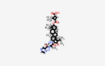 CC(C)C1=C2[C@H]3CC[C@@H]4[C@@]5(C)CC[C@H](OC(=O)[C@H]6C[C@@H](C(=O)O)C6(C)C)C(C)(C)[C@@H]5CC[C@@]4(C)[C@]3(C)CC[C@@]2(NC(=O)C(C)(C)NC(=O)c2cnccn2)CC1=O